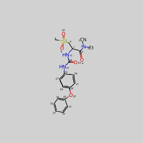 CCN(C#N)C(=O)C(CS(C)(=O)=O)NC(=O)Nc1ccc(Oc2ccccc2)cc1